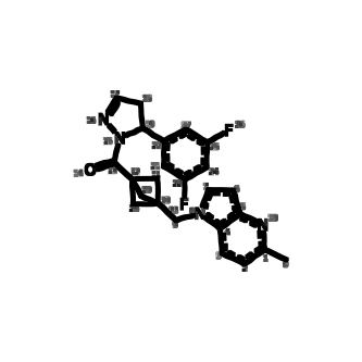 Cc1ccc2c(ccn2CC23CC(C(=O)N4N=CCC4c4cc(F)cc(F)c4)(C2)C3)n1